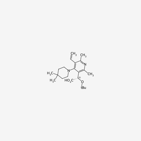 C=Cc1c(C)nc(C)c([C@H](OC(C)(C)C)C(=O)O)c1N1CCC(C)(C)CC1